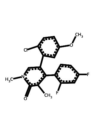 COc1ccc(Cl)c(-c2cn(C)c(=O)c(C)c2-c2ccc(F)cc2F)c1